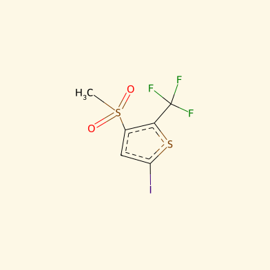 CS(=O)(=O)c1cc(I)sc1C(F)(F)F